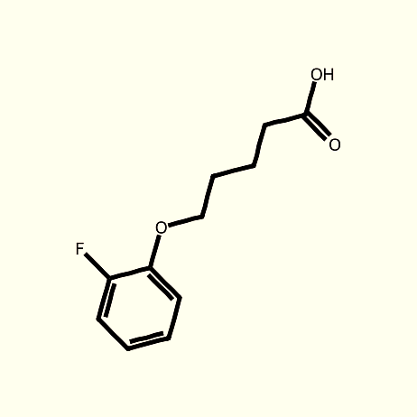 O=C(O)CCCCOc1ccccc1F